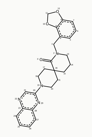 O=C1N(Cc2cccc3c2OCO3)CCCC12CCN(c1cnc3ccccc3n1)CC2